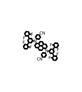 [C-]#[N+]c1ccc(N(c2cc(-c3c(F)cccc3F)cc(-c3c(F)cccc3F)c2)c2ccc3ccc4c(N(c5ccc(C#N)cc5)c5cc(-c6c(F)cccc6F)cc(-c6c(F)cccc6F)c5)ccc5ccc2c3c54)cc1